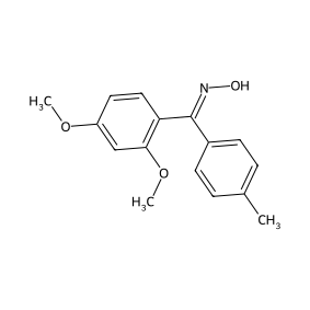 COc1ccc(C(=NO)c2ccc(C)cc2)c(OC)c1